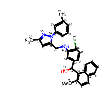 COc1ccc2ccccc2c1C(O)c1ccc(F)c(NCc2cc(C(F)(F)F)nn2-c2cccc(C#N)c2)c1